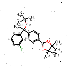 CC1(C)OB(c2ccc(C(O[Si](C)(C)C)(c3cccc(F)c3)C(F)(F)F)cc2)OC1(C)C